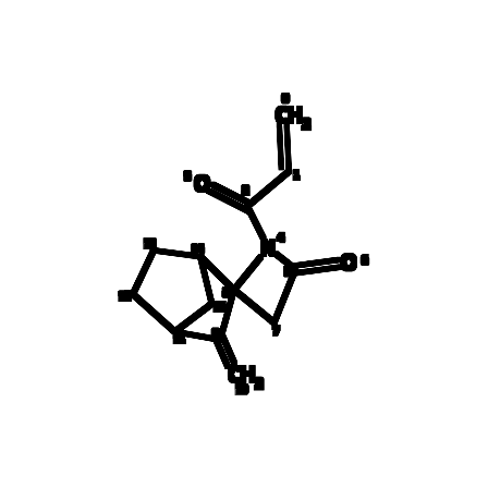 C=CC(=O)N1C(=O)CC12C(=C)C1CCC2C1